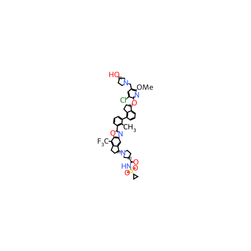 COc1nc(O[C@H]2CCc3c(-c4cccc(-c5nc6cc7c(c(C(F)(F)F)c6o5)CC[C@H]7N5CC[C@@H](C(=O)NS(=O)(=O)C6CC6)C5)c4C)cccc32)c(Cl)cc1CN1CC[C@@H](O)C1